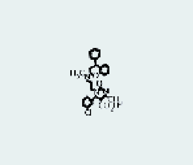 CC1=C(C(=O)O)C(c2cccc(Cl)c2)N(CCCN(C)C(=O)CC(c2ccccc2)c2ccccc2)C(=O)N1